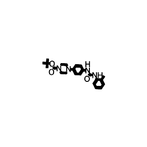 Cc1ccccc1NC(=O)Nc1ccc(N2CCN(C(=O)OC(C)(C)C)CC2)cc1